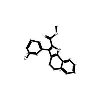 COC(=O)c1[nH]c2c(c1-c1cccc(Cl)c1)CCc1ccccc1-2